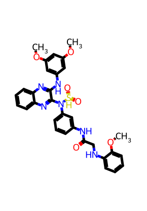 COc1cc(Nc2nc3ccccc3nc2N(c2cccc(NC(=O)CNc3ccccc3OC)c2)[SH](=O)=O)cc(OC)c1